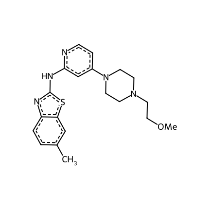 COCCN1CCN(c2ccnc(Nc3nc4ccc(C)cc4s3)c2)CC1